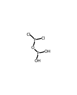 OP(O)OP(Cl)Cl